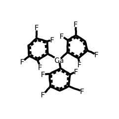 Fc1cc(F)c(F)[c]([Ga]([c]2c(F)c(F)cc(F)c2F)[c]2c(F)c(F)cc(F)c2F)c1F